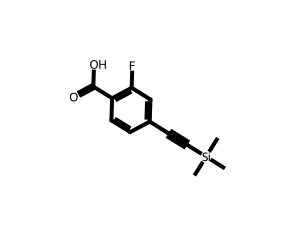 C[Si](C)(C)C#Cc1ccc(C(=O)O)c(F)c1